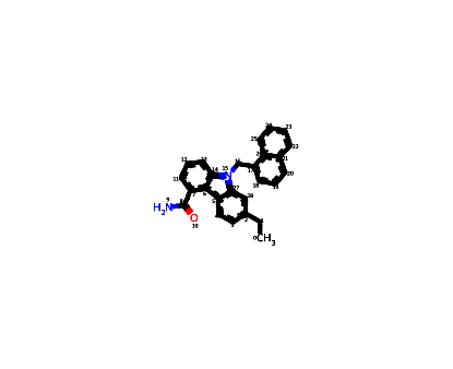 CCc1c[c]c2c3c(C(N)=O)cccc3n(Cc3cccc4ccccc34)c2c1